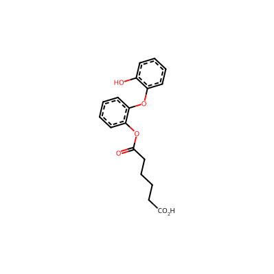 O=C(O)CCCCC(=O)Oc1ccccc1Oc1ccccc1O